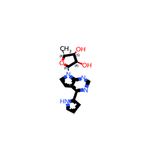 C[C@H]1O[C@@H](n2ccc3c(-c4ccc[nH]4)ncnc32)[C@H](O)[C@@H]1O